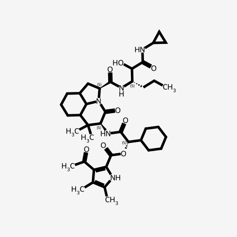 CCC[C@H](NC(=O)[C@@H]1CC2CCCC3C2N1C(=O)[C@@H](NC(=O)[C@@H](OC(=O)c1[nH]c(C)c(C)c1C(C)=O)C1CCCCC1)C3(C)C)C(O)C(=O)NC1CC1